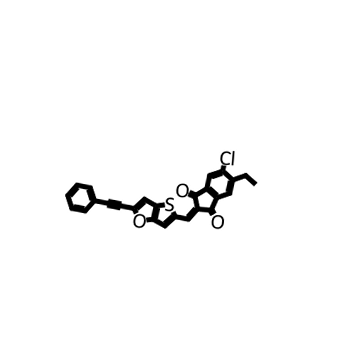 CCc1cc2c(cc1Cl)C(=O)/C(=C\c1cc3oc(C#Cc4ccccc4)cc3s1)C2=O